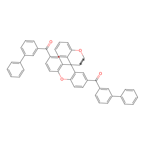 O=C(c1cccc(-c2ccccc2)c1)c1ccc2c(c1)C1(c3ccccc3Oc3ccccc31)c1cc(C(=O)c3cccc(-c4ccccc4)c3)ccc1O2